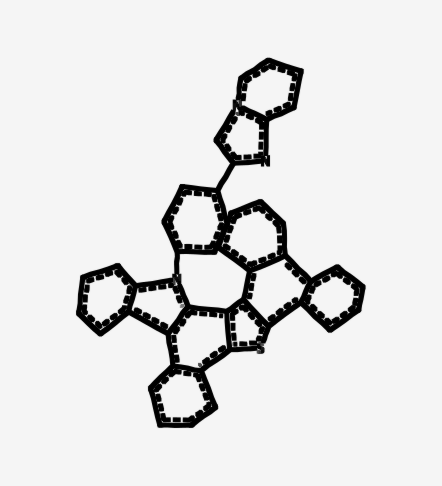 c1ccc2c(c1)c1ccccc1c1c2sc2c3ccccc3c3c4ccccc4n(-c4ccc(-c5cn6ccccc6n5)cc4)c3c21